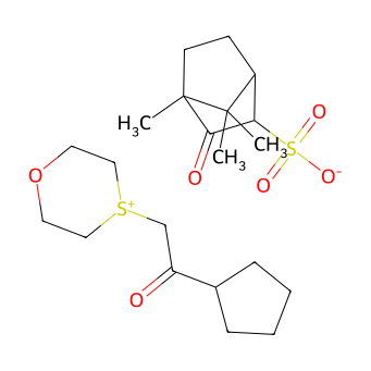 CC12CCC(C(S(=O)(=O)[O-])C1=O)C2(C)C.O=C(C[S+]1CCOCC1)C1CCCC1